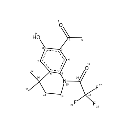 CC(=O)c1cc2c(cc1O)C(C)(C)CCN2C(=O)C(F)(F)F